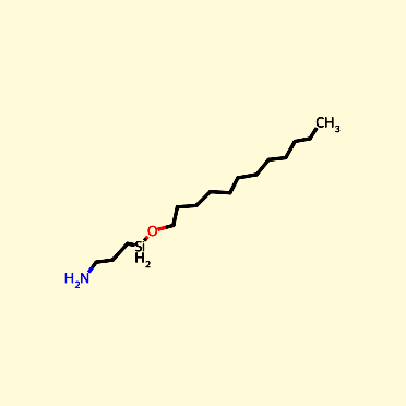 CCCCCCCCCCCCO[SiH2]CCCN